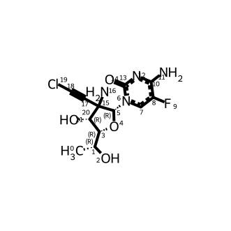 C[C@@H](O)[C@H]1O[C@@H](n2cc(F)c(N)nc2=O)C(N)(C#CCl)[C@H]1O